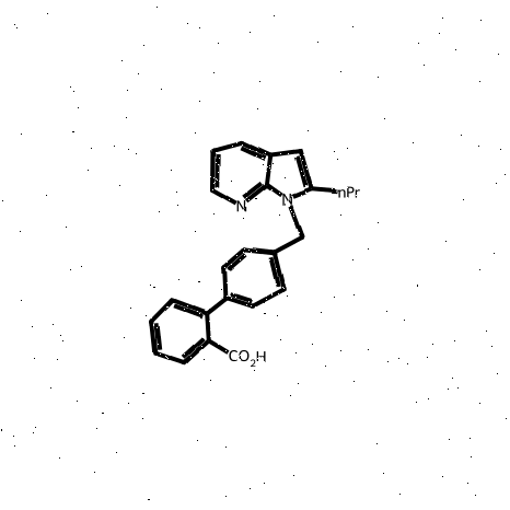 CCCc1cc2cccnc2n1Cc1ccc(-c2ccccc2C(=O)O)cc1